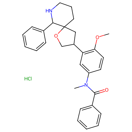 COc1ccc(N(C)C(=O)c2ccccc2)cc1C1COC2(CCCNC2c2ccccc2)C1.Cl